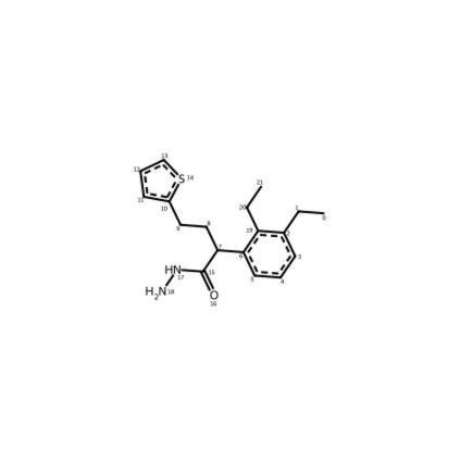 CCc1cccc(C(CCc2cccs2)C(=O)NN)c1CC